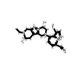 CCN1Cc2nn3c(c2C[C@@H]1C)CN(c1ccc(C#N)n2ncc(F)c12)C[C@H]3C